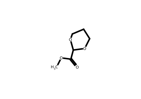 COC(=O)C1OCCCO1